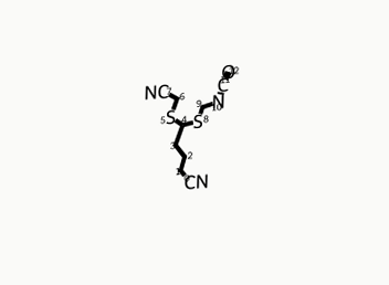 N#CCCCC(SCC#N)SCN=C=O